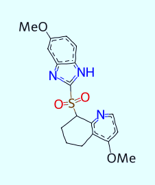 COc1ccc2[nH]c(S(=O)(=O)C3CCCc4c(OC)ccnc43)nc2c1